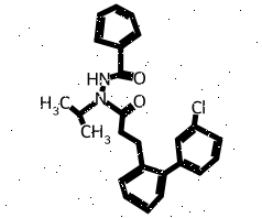 CC(C)N(NC(=O)c1ccccc1)C(=O)CCc1ccccc1-c1cccc(Cl)c1